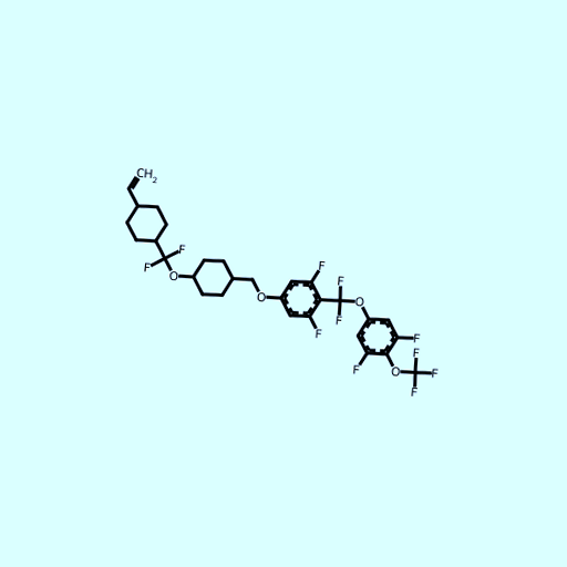 C=CC1CCC(C(F)(F)OC2CCC(COc3cc(F)c(C(F)(F)Oc4cc(F)c(OC(F)(F)F)c(F)c4)c(F)c3)CC2)CC1